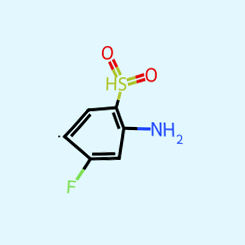 Nc1cc(F)[c]cc1[SH](=O)=O